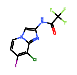 O=C(Nc1cn2ccc(I)c(Cl)c2n1)C(F)(F)F